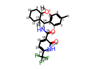 Cc1ccc2c(c1)O[C@@H]1CCCC[C@H]1[C@H]2NC(=O)c1ccc(C(F)(F)F)[nH]c1=O